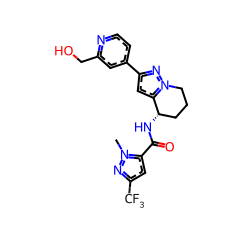 Cn1nc(C(F)(F)F)cc1C(=O)N[C@H]1CCCn2nc(-c3ccnc(CO)c3)cc21